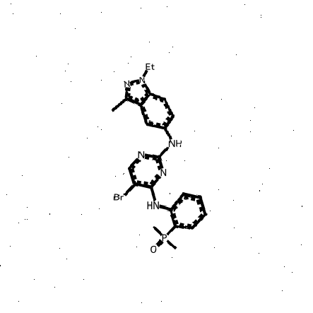 CCn1nc(C)c2cc(Nc3ncc(Br)c(Nc4ccccc4P(C)(C)=O)n3)ccc21